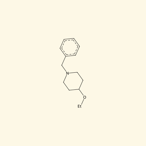 CCOC1CCN(Cc2ccccc2)CC1